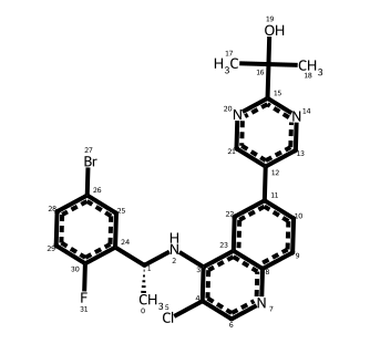 C[C@@H](Nc1c(Cl)cnc2ccc(-c3cnc(C(C)(C)O)nc3)cc12)c1cc(Br)ccc1F